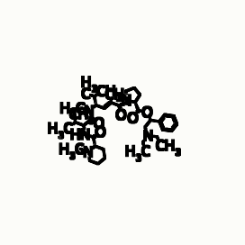 CCN(CC)CC(OC(=O)[C@@H]1CCCN1C(=O)/C(C)=C/[C@H](C(C)C)N(C)C(=O)[C@@H](NC(=O)[C@H]1CCCCN1C)C(C)C)c1ccccc1